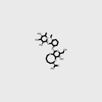 CC[C@@H]1CCC[C@@H](O[C@@H]2OC(CO)[C@H](O)C3O[C@@H](C(=O)O)CCCCOC32)C1O[C@@H]1OC(C)[C@@H](O)C(O)[C@@H]1O